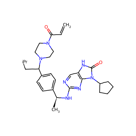 C=CC(=O)N1CCN(C(CC(C)C)c2ccc([C@H](C)Nc3ncc4[nH]c(=O)n(C5CCCC5)c4n3)cc2)CC1